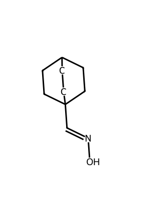 ON=CC12CCC(CC1)CC2